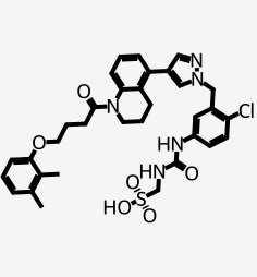 Cc1cccc(OCCCC(=O)N2CCCc3c(-c4cnn(Cc5cc(NC(=O)NCS(=O)(=O)O)ccc5Cl)c4)cccc32)c1C